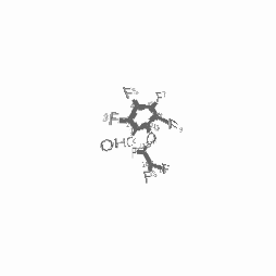 O=Cc1c(F)c(F)c(F)c(F)c1OC(F)=C(F)F